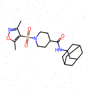 Cc1noc(C)c1S(=O)(=O)N1CCC(C(=O)NC23CC4CC(CC(C4)C2)C3)CC1